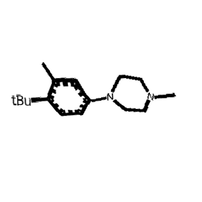 Cc1cc(N2CCN(C)CC2)ccc1C(C)(C)C